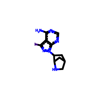 Nc1ncnc2c1c(I)nn2C1CC2CNC1C2